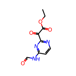 CCOC(=O)C(=O)c1nccc(NC=O)n1